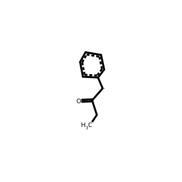 CCC(=O)[CH]c1ccccc1